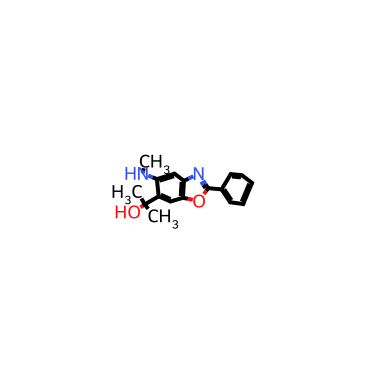 CNc1cc2nc(-c3ccccc3)oc2cc1C(C)(C)O